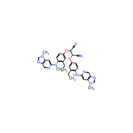 CCc1cc(OC(C#N)C(C#N)Oc2ccc(N(C)c3cc4c(cn3)ncn4C)c(CC)c2)ccc1Nc1cc2c(cn1)ncn2C